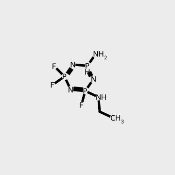 CCNP1(F)=NP(F)(F)=N[PH](N)=N1